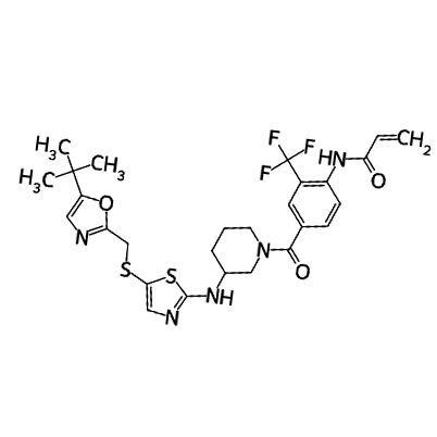 C=CC(=O)Nc1ccc(C(=O)N2CCCC(Nc3ncc(SCc4ncc(C(C)(C)C)o4)s3)C2)cc1C(F)(F)F